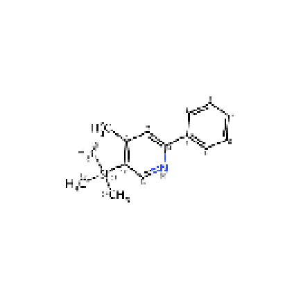 Cc1cc(-c2ccccc2)ncc1[Si](C)(C)C